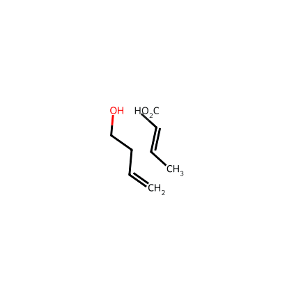 C=CCCO.CC=CC(=O)O